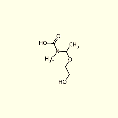 CC(OCCO)N(C)C(=O)O